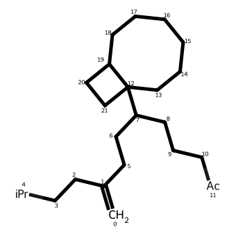 C=C(CCC(C)C)CCC(CCCC(C)=O)C12CCCCCCC1CC2